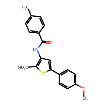 Cc1ccc(C(=O)Nc2cc(-c3ccc(OC(F)(F)F)cc3)sc2C(=O)O)cc1